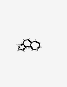 C1=CC2=CCc3oncc3C2=CN=C1